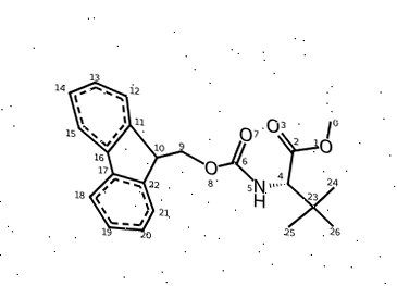 COC(=O)[C@@H](NC(=O)OCC1c2ccccc2-c2ccccc21)C(C)(C)C